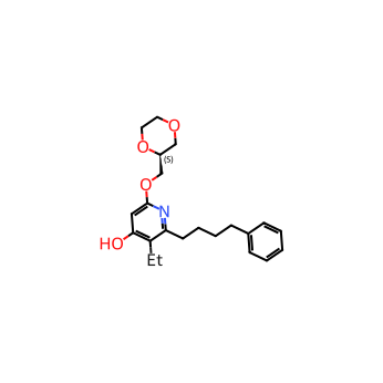 CCc1c(O)cc(OC[C@@H]2COCCO2)nc1CCCCc1ccccc1